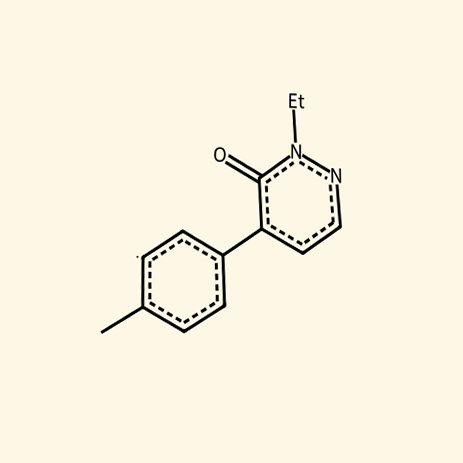 CCn1nccc(-c2c[c]c(C)cc2)c1=O